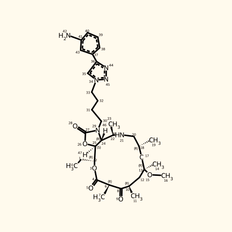 CC[C@H]1OC(=O)[C@H](C)C(=O)[C@H](C)C[C@](C)(OC)C[C@@H](C)CN[C@H](C)[C@@H]2[C@@H]1OC(=O)N2CCCCn1cc(-c2cccc(N)c2)nn1